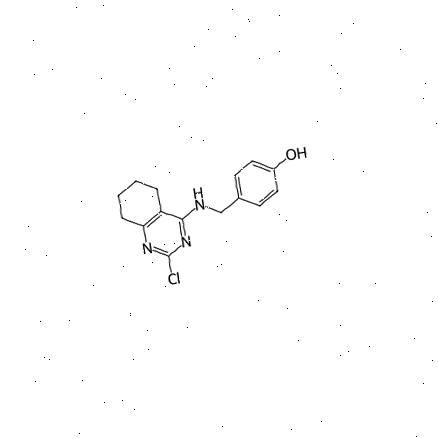 Oc1ccc(CNc2nc(Cl)nc3c2CCCC3)cc1